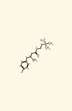 C[Si](C)(C)CCOC(=O)C[C@@H](N)Cc1ccc(I)cc1